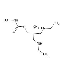 CCNCC(C)(CNCC)COC(=O)NC